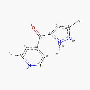 Cc1cc(C(=O)c2cc(C)nn2C)ccn1